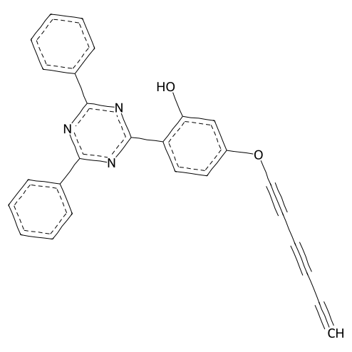 C#CC#CC#COc1ccc(-c2nc(-c3ccccc3)nc(-c3ccccc3)n2)c(O)c1